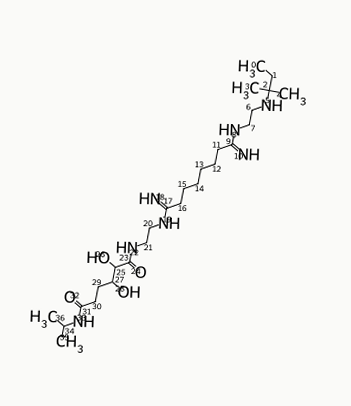 CCC(C)(C)NCCNC(=N)CCCCCCC(=N)NCCNC(=O)C(O)C(O)CCC(=O)NC(C)C